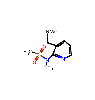 CNCc1cccnc1N(C)S(C)(=O)=O